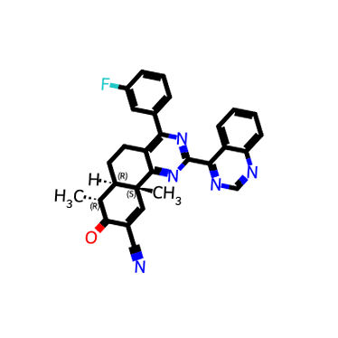 C[C@H]1C(=O)C(C#N)=C[C@@]2(C)c3nc(-c4ncnc5ccccc45)nc(-c4cccc(F)c4)c3CC[C@H]12